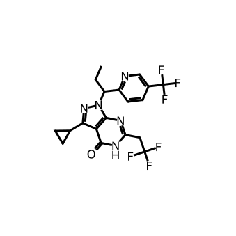 CCC(c1ccc(C(F)(F)F)cn1)n1nc(C2CC2)c2c(=O)[nH]c(CC(F)(F)F)nc21